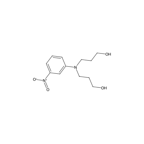 O=[N+]([O-])c1cccc(N(CCCO)CCCO)c1